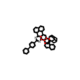 c1ccc(-c2ccc(-c3nc(-c4ccccc4)nc(-c4cccc5cccc(-c6ccc7c(c6)C6(c8c-7ccc7ccccc87)C7CC8CC(C7)CC6C8)c45)n3)cc2)cc1